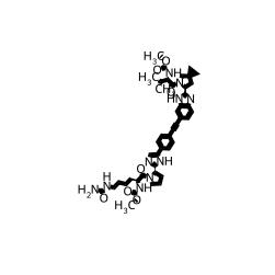 COC(=O)N[C@@H](CCCCNC(N)=O)C(=O)N1CCC[C@H]1c1ncc(-c2ccc(C#Cc3ccc4nc([C@@H]5CC6(CC6)CN5C(=O)[C@@H](NC(=O)OC)C(C)C)[nH]c4c3)cc2)[nH]1